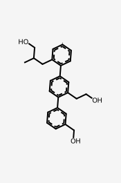 CC(CO)Cc1c[c]ccc1-c1ccc(-c2cccc(CO)c2)c(CCO)c1